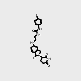 O=C1CCC(N2Cc3cc(NCCNC(=O)Nc4ccc(I)cc4)ccc3C2=O)C(=O)N1